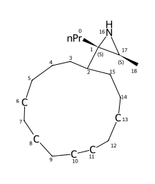 CCC[C@@]1(C2CCCCCCCCCCCCC2)N[C@H]1C